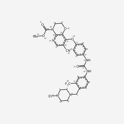 CCN1CCN(Cc2ccc(NC(=O)Nc3ccc(Oc4c(C#N)cnc5c4OCCN5C(=O)OC(C)(C)C)cc3)cc2C(F)(F)F)CC1